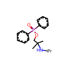 CC(C)NC(C)(C)COP(=O)(c1ccccc1)c1ccccc1